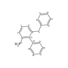 Pc1cccc(Cc2ccccc2)c1-c1ccccc1